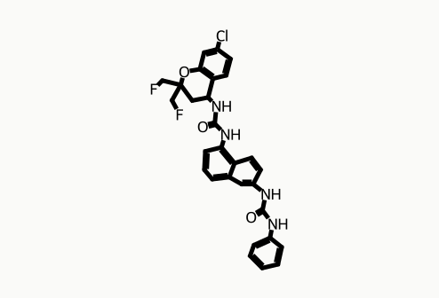 O=C(Nc1ccccc1)Nc1ccc2c(NC(=O)NC3CC(CF)(CF)Oc4cc(Cl)ccc43)cccc2c1